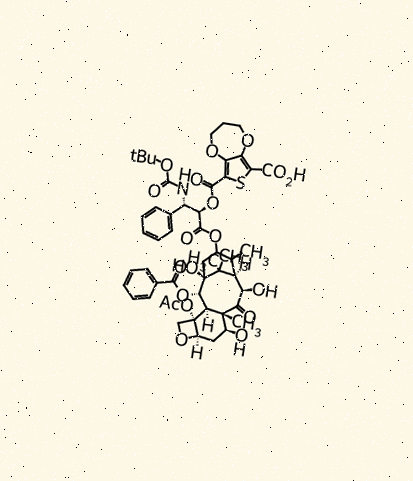 CC(=O)O[C@@]12CO[C@@H]1C[C@H](O)[C@@]1(C)C(=O)[C@H](O)[C@@H]3C(C)C(OC(=O)[C@H](OC(=O)c4sc(C(=O)O)c5c4OCCCO5)[C@@H](NC(=O)OC(C)(C)C)c4ccccc4)C[C@@](O)([C@@H](OC(=O)c4ccccc4)[C@H]21)C3(C)C